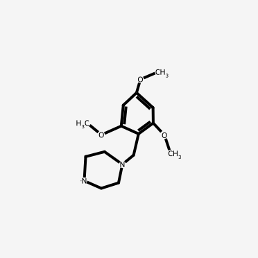 COc1cc(OC)c(CN2CC[N]CC2)c(OC)c1